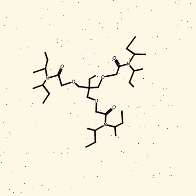 CCC(C)N(C(=O)COCC(CC)(COCC(=O)N(C(C)CC)C(C)CC)COCC(=O)N(C(C)CC)C(C)CC)C(C)CC